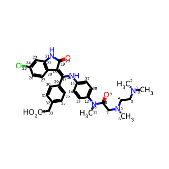 CN(C)CCN(C)CC(=O)N(C)c1ccc(N/C(=C2\C(=O)Nc3cc(Cl)ccc32)c2ccc(CC(=O)O)cc2)cc1